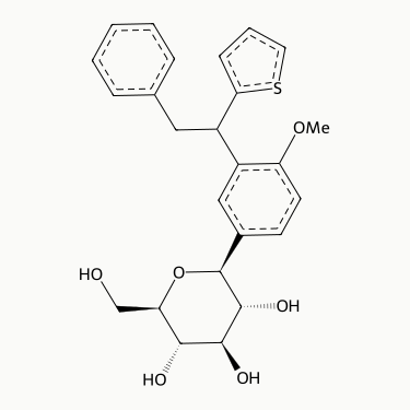 COc1ccc([C@@H]2O[C@H](CO)[C@@H](O)[C@H](O)[C@H]2O)cc1C(Cc1ccccc1)c1cccs1